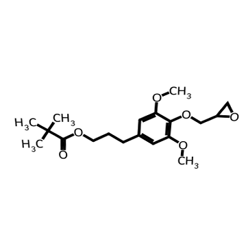 COc1cc(CCCOC(=O)C(C)(C)C)cc(OC)c1OCC1CO1